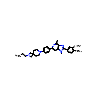 COCCN1CC2(CCN(c3ccc(-c4cc5c(nc(-c6ccc(OC)c(OC)c6)n5C)c(C)n4)cc3)CC2)C1